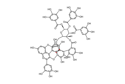 O=C(OC1[C@H](OC(=O)c2cc(O)c(O)c(O)c2)OC2COC(=O)c3cc(Oc4c(-c5cc(O)c(O)c(O)c5)[o+]c5cc(O)cc6c5c4-c4ccc(O)c(O)c4O6)c(O)c(O)c3-c3c(cc(O)c(O)c3O)C(=O)O[C@H]2[C@@H]1OC(=O)c1cc(O)c(O)c(O)c1)c1cc(O)c(O)c(O)c1